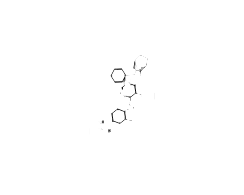 Cc1c(Nc2ccc(S(C)(=O)=O)cc2F)ncnc1OC1CC2CCC1N2Cc1ccccc1